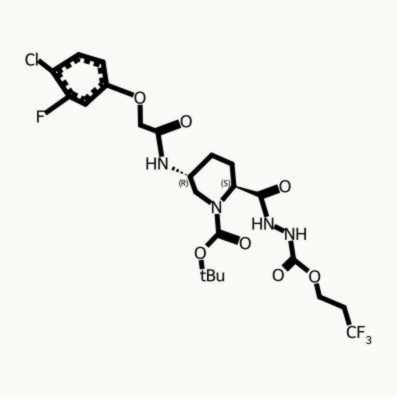 CC(C)(C)OC(=O)N1C[C@H](NC(=O)COc2ccc(Cl)c(F)c2)CC[C@H]1C(=O)NNC(=O)OCCC(F)(F)F